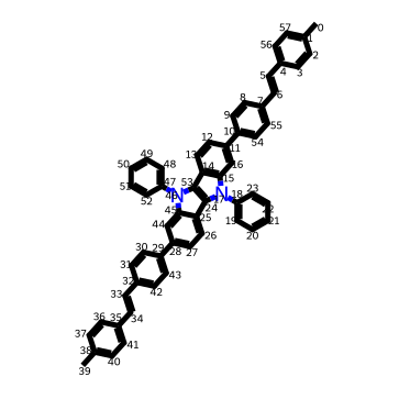 Cc1ccc(/C=C/c2ccc(-c3ccc4c(c3)n(-c3ccccc3)c3c5ccc(-c6ccc(/C=C/c7ccc(C)cc7)cc6)cc5n(-c5ccccc5)c43)cc2)cc1